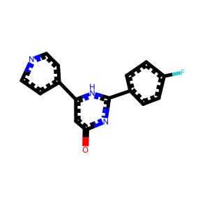 O=c1cc(-c2ccncc2)[nH]c(-c2ccc(F)cc2)n1